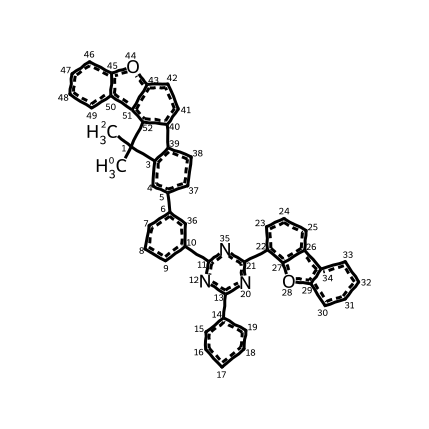 CC1(C)c2cc(-c3cccc(-c4nc(-c5ccccc5)nc(-c5cccc6c5oc5ccccc56)n4)c3)ccc2-c2ccc3oc4ccccc4c3c21